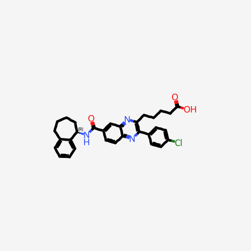 O=C(O)CCCCc1nc2cc(C(=O)N[C@@H]3CCCCc4ccccc43)ccc2nc1-c1ccc(Cl)cc1